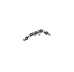 CN(C)Cc1ccc(COc2ccc3nc(-c4ccc(-c5nc6ccc(OCc7ccc(CN(C)C)cc7)cc6[nH]5)cc4)[nH]c3c2)cc1